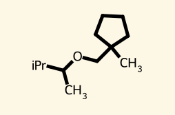 CC(C)C(C)OCC1(C)CCCC1